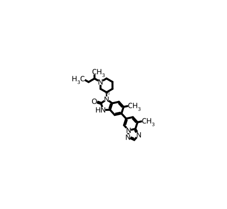 CCC(C)N1CCC[C@@H](n2c(=O)[nH]c3cc(-c4cc(C)c5ncnn5c4)c(C)cc32)C1